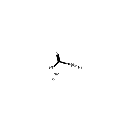 CNC(=S)S.[Na+].[Na+].[Na+].[S-2]